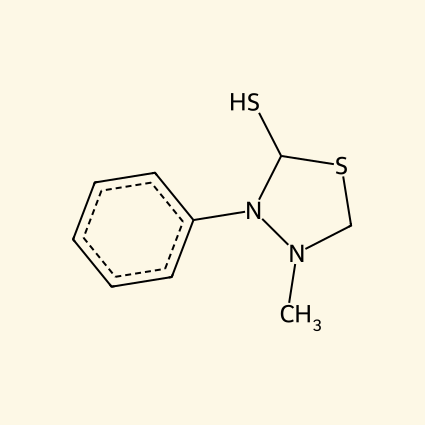 CN1CSC(S)N1c1ccccc1